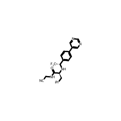 CC(C)C[C@H](N[C@@H](c1ccc(-c2cncnc2)cc1)C(F)(F)F)C(=O)NCC#N